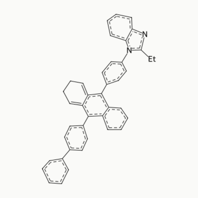 CCc1nc2ccccc2n1-c1ccc(-c2c3c(c(-c4ccc(-c5ccccc5)cc4)c4ccccc24)=CCCC=3)cc1